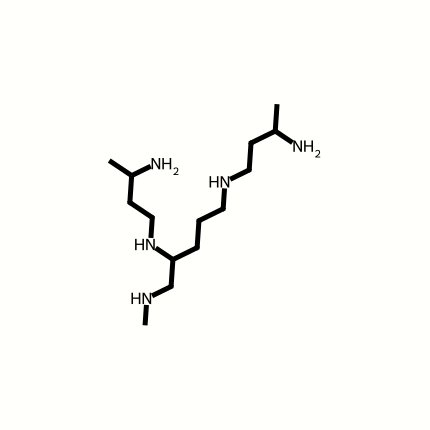 CNCC(CCCNCCC(C)N)NCCC(C)N